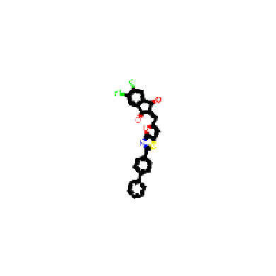 O=C1C(=Cc2cc3sc(-c4ccc(-c5ccccc5)cc4)nc3o2)C(=O)c2cc(Cl)c(Cl)cc21